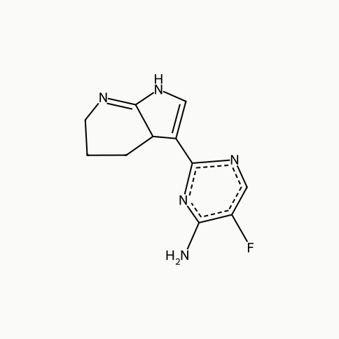 Nc1nc(C2=CNC3=NCCCC23)ncc1F